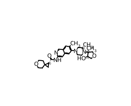 Cc1cc2cnc(NC(=O)[C@@H]3CC34CCOCC4)cc2cc1N1CCN([C@@]2(C)COC[C@H]2O)[C@@H](C)C1